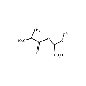 CCCCSC(OC(=O)C(C)C(=O)O)C(=O)O